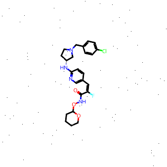 O=C(NOC1CCCCO1)/C(F)=C\c1ccc(N[C@@H]2CCN(Cc3ccc(Cl)cc3)C2)nc1